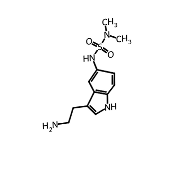 CN(C)S(=O)(=O)Nc1ccc2[nH]cc(CCN)c2c1